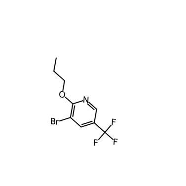 CCCOc1ncc(C(F)(F)F)cc1Br